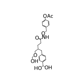 CC(=O)Oc1ccc(CONC(=O)CCC(COCO)Cc2ccc(C(O)O)cc2)cc1